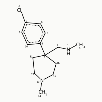 CNCC1(c2ccc(Cl)cc2)CCN(C)CC1